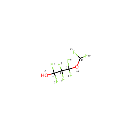 OC(F)(F)C(F)(F)C(F)(F)OC(F)F